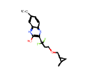 COc1ccc2nc(C(F)(F)CCOCC3CC3C)c(O)nc2c1